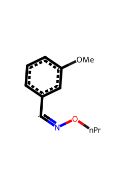 CCCO/N=[C]\c1cccc(OC)c1